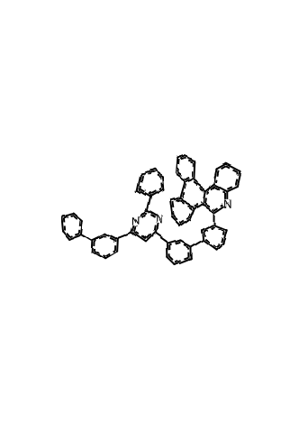 c1ccc(-c2cccc(-c3cc(-c4cccc(-c5cccc(-c6nc7ccccc7c7c8ccccc8c8ccccc8c67)c5)c4)nc(-c4ccccc4)n3)c2)cc1